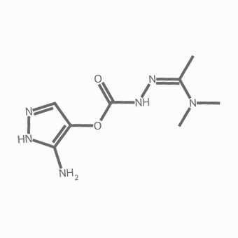 CC(=NNC(=O)Oc1cn[nH]c1N)N(C)C